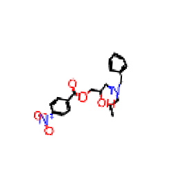 CCCN(Cc1ccccc1)CC(O)COC(=O)c1ccc([N+](=O)[O-])cc1